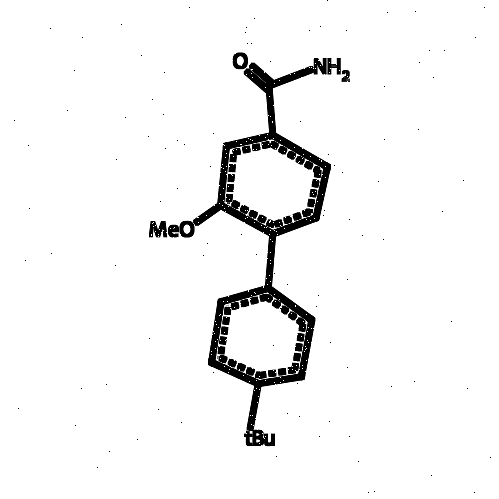 COc1cc(C(N)=O)ccc1-c1ccc(C(C)(C)C)cc1